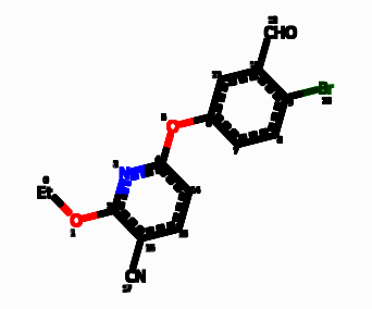 CCOc1nc(Oc2ccc(Br)c(C=O)c2)ccc1C#N